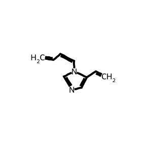 C=C/C=C\n1cncc1C=C